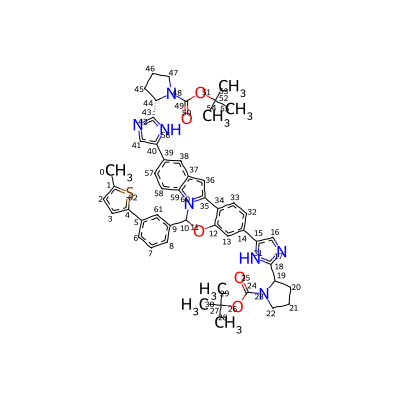 Cc1ccc(-c2cccc(C3Oc4cc(-c5cnc(C6CCCN6C(=O)OC(C)(C)C)[nH]5)ccc4-c4cc5cc(-c6cnc([C@@H]7CCCN7C(=O)OC(C)(C)C)[nH]6)ccc5n43)c2)s1